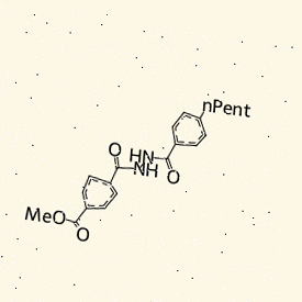 CCCCCc1ccc(C(=O)NNC(=O)c2ccc(C(=O)OC)cc2)cc1